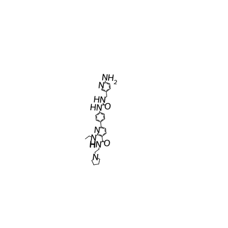 CCNc1nc(-c2ccc(NC(=O)NCc3ccc(N)nc3)cc2)ccc1C(=O)NCCN1CCCC1